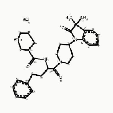 CC1(C)C(=O)N(C2CCN(C(=O)C(CCc3ccccc3)NC(=O)C3CCCNC3)CC2)c2ccccc21.Cl